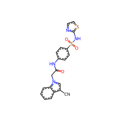 N#Cc1cn(CC(=O)Nc2ccc(S(=O)(=O)Nc3nccs3)cc2)c2ccccc12